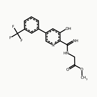 COC(=O)CNC(=N)c1ncc(-c2cccc(C(F)(F)F)c2)cc1O